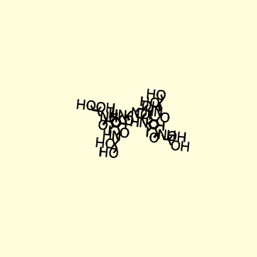 O=C(CN(CCO)CC(=O)Nc1c(I)c(C(=O)NCC(O)CO)c(I)c(C(=O)NCC(O)CO)c1I)Nc1c(I)c(C(=O)NCC(O)CO)c(I)c(C(=O)NCC(O)CO)c1I